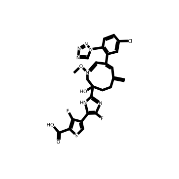 C=C1/C=C(c2cc(Cl)ccc2-n2cnnn2)\C=[N+](\OC)CC(O)(c2nc(F)c(-c3csc(C(=O)O)c3F)[nH]2)CC1